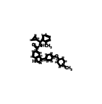 Cc1ccccc1C(NC(=O)c1ccc2[nH]nc(-c3ccc(OC4CCN(C)CC4)cc3)c2c1)C1CC1